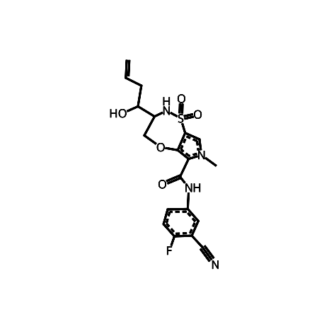 C=CCC(O)C1COc2c(cn(C)c2C(=O)Nc2ccc(F)c(C#N)c2)S(=O)(=O)N1